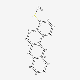 CSc1cccc2c1ccc1cc3ccccc3cc12